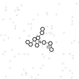 c1cc(-c2ccc3ccccc3c2)cc(N(c2ccc(-c3cccc4c3oc3ccccc34)cc2)c2ccccc2-c2ccccc2-c2cccc3ccccc23)c1